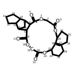 O=C1COC(=O)C2C3CC(C4CCCC43)C2C(=O)OCC(=O)OC2CCCC3=C2C(CCC3)O1